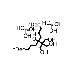 CCCCCCCCCCCCCC(O)(CCCCCCCCCCCCC)C(CO)(CO)CO.OP(O)O.OP(O)O